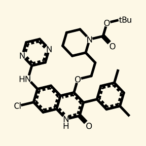 Cc1cc(C)cc(-c2c(OCCC3CCCCN3C(=O)OC(C)(C)C)c3cc(Nc4cnccn4)c(Cl)cc3[nH]c2=O)c1